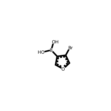 OB(O)c1cocc1Br